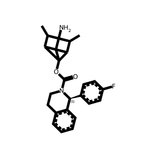 CC1C2C3(OC(=O)N4CCc5ccccc5[C@@H]4c4ccc(F)cc4)C4C(C)C1(N)C243